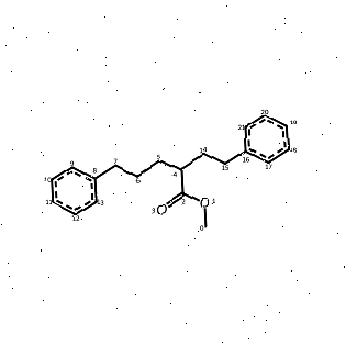 COC(=O)C(CCCc1ccccc1)CCc1ccccc1